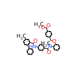 COC(=O)c1ccc(COc2ccccc2N(C)C(=O)c2ccc(NC(=O)c3cc(C)ccc3-c3ccccc3)cc2)cc1